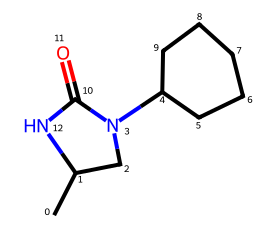 CC1CN(C2CCCCC2)C(=O)N1